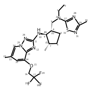 CCN(C[C@@H]1CC[C@H](C)[C@H]1Nc1nc2c(OCC(F)(F)F)cc(C)cn2n1)c1nc(C)ns1